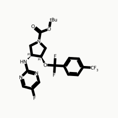 CC(C)(C)OC(=O)N1C[C@@H](Nc2ncc(F)cn2)[C@H](OC(F)(F)c2ccc(C(F)(F)F)cc2)C1